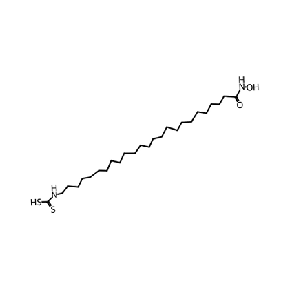 O=C(CCCCCCCCCCCCCCCCCCCCCCCCNC(=S)S)NO